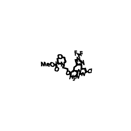 COC(=O)[C@@H]1COCCN1CCOc1ccccc1Cc1cn(C(F)F)nc1-c1cc(Cl)nc(N)n1